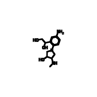 CNC1CN(c2ccc(N)cc2C(O)CO)CC1O